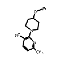 Cc1ccc(C#N)c(N2CCC(OC(C)C)CC2)n1